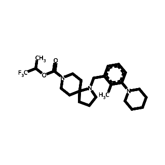 Cc1c(CN2CCCC23CCN(C(=O)OC(C)C(F)(F)F)CC3)cccc1N1CCCCC1